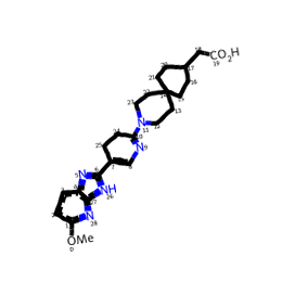 COc1ccc2nc(C3=CN=C(N4CCC5(CCC(CC(=O)O)CC5)CC4)CC3)[nH]c2n1